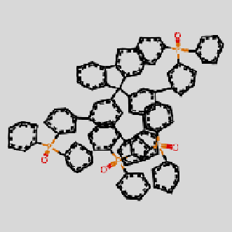 O=P(c1ccccc1)(c1ccccc1)c1cccc(-c2cc(-c3cccc(P(=O)(c4ccccc4)c4ccccc4)c3)cc(C3(c4cc(-c5cccc(P(=O)(c6ccccc6)c6ccccc6)c5)cc(-c5cccc(P(=O)(c6ccccc6)c6ccccc6)c5)c4)c4ccccc4-c4ccccc43)c2)c1